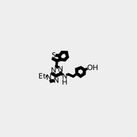 CCn1cnc2c(NCCc3ccc(O)cc3)nc(-c3csc4ccccc34)nc21